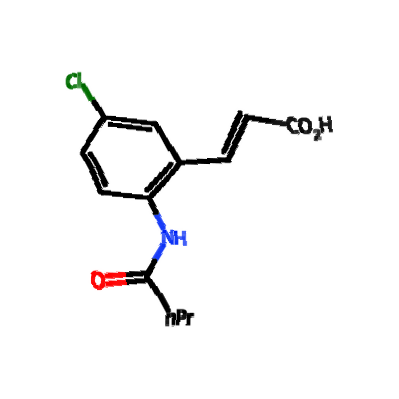 CCCC(=O)Nc1ccc(Cl)cc1C=CC(=O)O